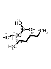 CCCCCC.CO.OB(O)O